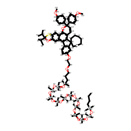 CCCC[Si](C)(C)O[Si](C)(C)O[Si](C)(C)O[Si](C)(C)O[Si](C)(C)O[Si](C)(C)O[Si](C)(C)O[Si](C)(C)O[Si](C)(C)O[Si](C)(C)O[Si](C)(C)O[Si](C)(C)O[Si](C)(C)CCCOCCOc1ccc2c(c1)C1(CCCCCCC1)c1c3c(c4cc5c(cc4c1-2)OC(C(C)C)(C(C)C)S5)OC(c1ccc(OC)cc1)(c1ccc(OC)cc1)C=C3